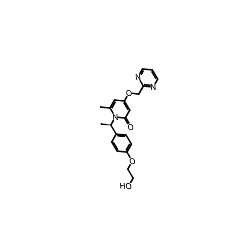 Cc1cc(OCc2ncccn2)cc(=O)n1[C@H](C)c1ccc(OCCO)cc1